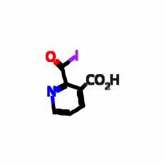 O=C(O)c1cccnc1C(=O)I